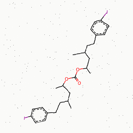 CC(CCc1ccc(I)cc1)CC(C)OC(=O)OC(C)CC(C)CCc1ccc(I)cc1